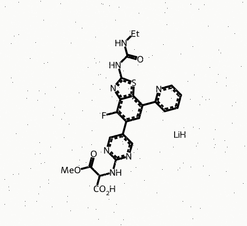 CCNC(=O)Nc1nc2c(F)c(-c3cnc(NC(C(=O)O)C(=O)OC)nc3)cc(-c3ccccn3)c2s1.[LiH]